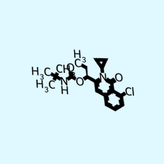 CC[C@H](OC(=O)NC(C)(C)C)c1cc2cccc(Cl)c2c(=O)n1C1CC1